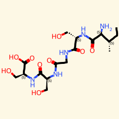 CC[C@H](C)[C@H](N)C(=O)N[C@@H](CO)C(=O)NCC(=O)N[C@@H](CO)C(=O)N[C@@H](CO)C(=O)O